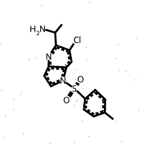 Cc1ccc(S(=O)(=O)n2ccc3nc(C(C)N)c(Cl)cc32)cc1